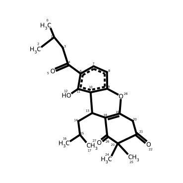 CC(C)CC(=O)c1ccc2c(c1O)C(CC(C)C)C1=C(CC(=O)C(C)(C)C1=O)O2